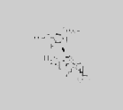 C=CC(=O)N1CC[C@H](n2nc(C#Cc3c(F)c(OC)cc(OC)c3F)c3c(N)ncc(C4(C#N)CC4)c32)C1